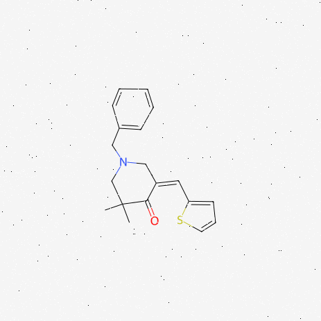 CC1(C)CN(Cc2ccccc2)CC(=Cc2cccs2)C1=O